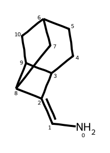 N/C=C1\C2CCC3CC1C2C3